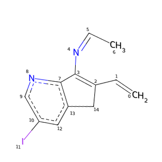 C=CC1=C(/N=C\C)c2ncc(I)cc2C1